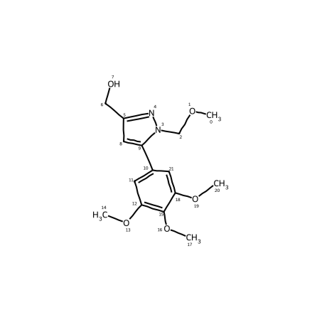 COCn1nc(CO)cc1-c1cc(OC)c(OC)c(OC)c1